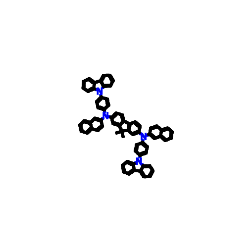 CC1(C)c2cc(N(c3ccc(-n4c5ccccc5c5ccccc54)cc3)c3ccc4ccccc4c3)ccc2-c2ccc(N(c3ccc(-n4c5ccccc5c5ccccc54)cc3)c3ccc4ccccc4c3)cc21